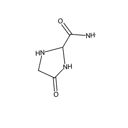 [NH]C(=O)C1NCC(=O)N1